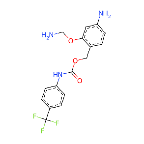 NCOc1cc(N)ccc1COC(=O)Nc1ccc(C(F)(F)F)cc1